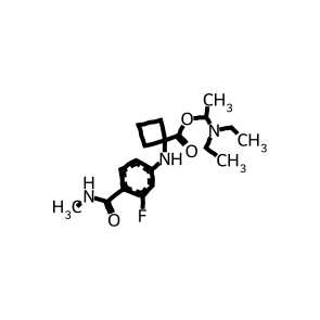 CCN(CC)C(C)OC(=O)C1(Nc2ccc(C(=O)NC)c(F)c2)CCC1